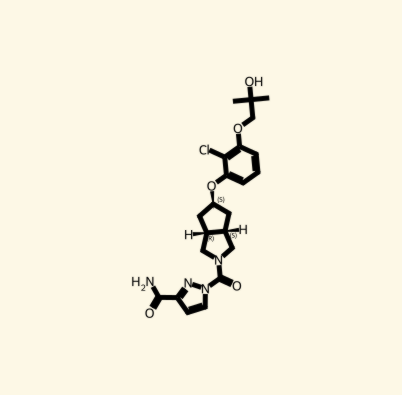 CC(C)(O)COc1cccc(O[C@H]2C[C@@H]3CN(C(=O)n4ccc(C(N)=O)n4)C[C@@H]3C2)c1Cl